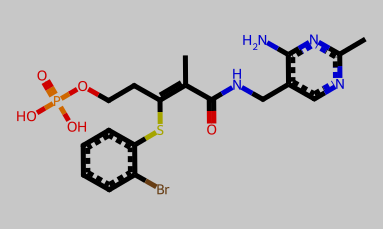 C/C(C(=O)NCc1cnc(C)nc1N)=C(\CCOP(=O)(O)O)Sc1ccccc1Br